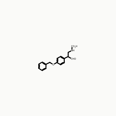 O=CC(CNC(=O)O)c1ccc(OCc2ccccc2)cc1